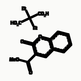 CCC(CC)(C(=O)O)C(=O)O.COC(=O)c1cc2ccccc2oc1=O